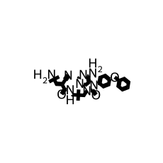 CC(C)(N)/C=C(\C#N)C(=O)NCC(C)(C)Cn1c(=O)n(-c2ccc(Oc3ccccc3)cc2)c2c(N)ncnc21